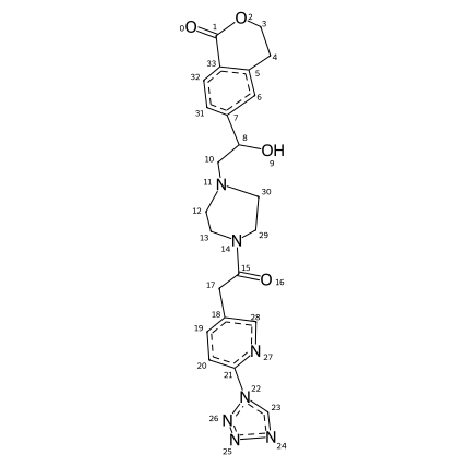 O=C1OCCc2cc(C(O)CN3CCN(C(=O)Cc4ccc(-n5cnnn5)nc4)CC3)ccc21